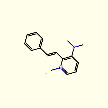 CN(C)c1ccc[n+](C)c1C=Cc1ccccc1.[I-]